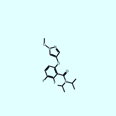 COn1cc(Oc2ccc(F)c(F)c2C(=O)N(C(C)C)C(C)C)cn1